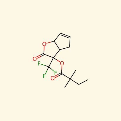 CCC(C)(C)C(=O)OC1(C(F)(F)F)C(=O)OC2C=CCC21